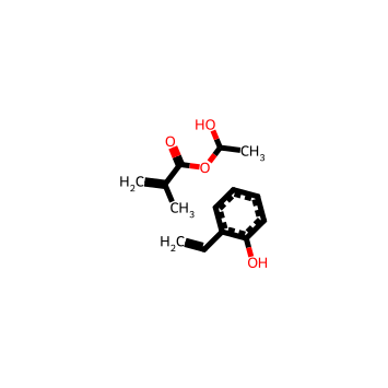 C=C(C)C(=O)OC(C)O.C=Cc1ccccc1O